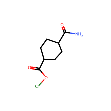 NC(=O)C1CCC(C(=O)OCl)CC1